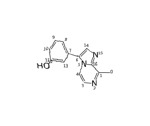 Cc1nccn2c(-c3cccc(O)c3)cnc12